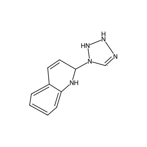 [C]1=NNNN1C1C=Cc2ccccc2N1